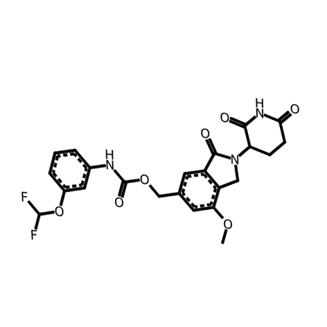 COc1cc(COC(=O)Nc2cccc(OC(F)F)c2)cc2c1CN(C1CCC(=O)NC1=O)C2=O